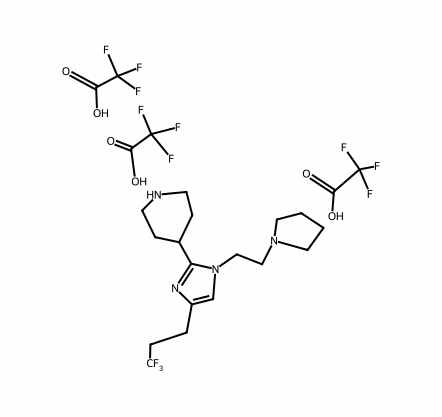 FC(F)(F)CCc1cn(CCN2CCCC2)c(C2CCNCC2)n1.O=C(O)C(F)(F)F.O=C(O)C(F)(F)F.O=C(O)C(F)(F)F